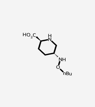 CCCCON[C@@H]1CC[C@@H](C(=O)O)NC1